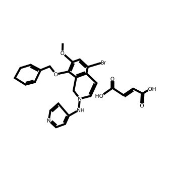 COc1cc(Br)c2c(c1OCC1=CCCC=C1)CN(Nc1ccncc1)C=C2.O=C(O)C=CC(=O)O